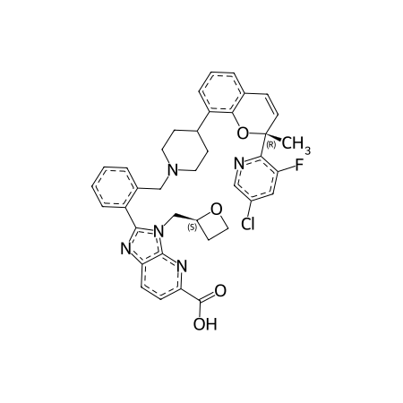 C[C@]1(c2ncc(Cl)cc2F)C=Cc2cccc(C3CCN(Cc4ccccc4-c4nc5ccc(C(=O)O)nc5n4C[C@@H]4CCO4)CC3)c2O1